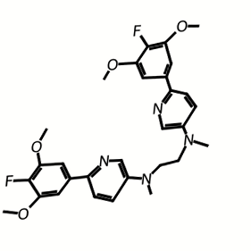 COc1cc(-c2ccc(N(C)CCN(C)c3ccc(-c4cc(OC)c(F)c(OC)c4)nc3)cn2)cc(OC)c1F